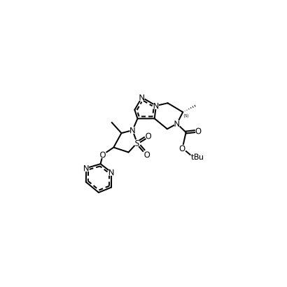 CC1C(Oc2ncccn2)CS(=O)(=O)N1c1cnn2c1CN(C(=O)OC(C)(C)C)[C@@H](C)C2